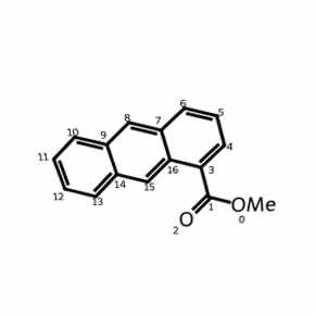 COC(=O)c1cccc2cc3ccccc3cc12